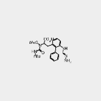 CCCCNC(=O)N(OC)C(Cc1cccc(NC=NN)c1-c1ccccc1)C(=O)O